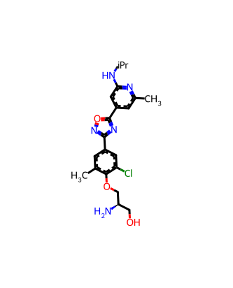 Cc1cc(-c2nc(-c3cc(C)c(OC[C@H](N)CO)c(Cl)c3)no2)cc(NC(C)C)n1